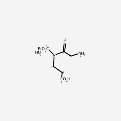 CCOC(=O)N(CCC(=O)O)C(=O)CN.Cl